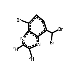 [2H]c1nc2c(Br)ccc(C(Br)Br)c2nc1[2H]